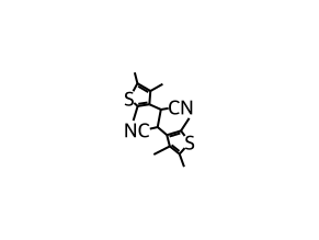 Cc1sc(C)c(C(C#N)C(C#N)c2c(C)sc(C)c2C)c1C